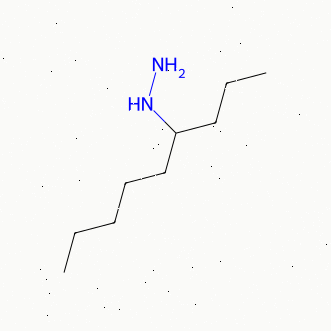 CCCCCC(CCC)NN